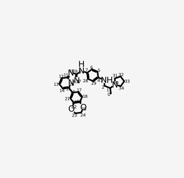 CC(CNc1ccc(Nc2nc3cccc(-c4ccc5c(c4)OCCO5)n3n2)cc1)N1CCCC1